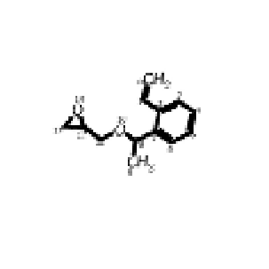 C=Cc1ccccc1C(C)OCC1CO1